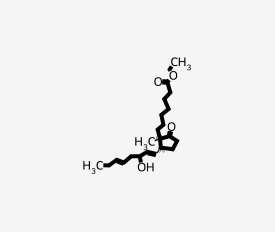 CCC=CCC(O)C=C[C@H]1CCC(=O)[C@]1(C)CCCCCCC(=O)OCC